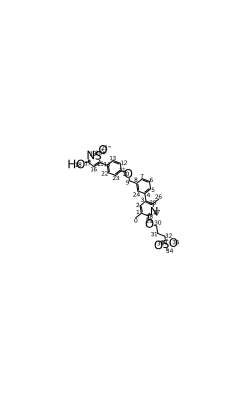 Cc1cc(-c2cccc(COc3ccc(-c4cc(O)n[s+]4[O-])cc3)c2)c(C)nc1OCCCS(C)(=O)=O